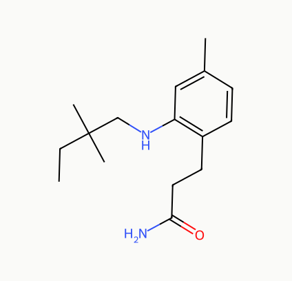 CCC(C)(C)CNc1cc(C)ccc1CCC(N)=O